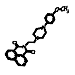 COc1ccc(N2CCN(CCN3C(=O)c4cccc5cccc(c45)C3=O)CC2)cc1